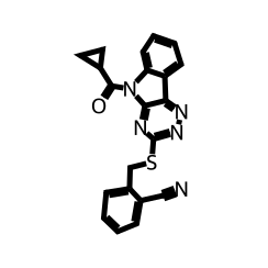 N#Cc1ccccc1CSc1nnc2c3ccccc3n(C(=O)C3CC3)c2n1